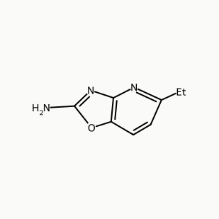 CCc1ccc2oc(N)nc2n1